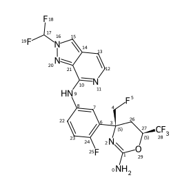 NC1=N[C@](CF)(c2cc(Nc3nccc4cn(C(F)F)nc34)ccc2F)C[C@@H](C(F)(F)F)O1